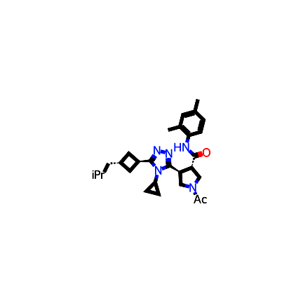 CC(=O)N1C[C@@H](C(=O)Nc2ccc(C)cc2C)[C@H](c2nnc([C@H]3C[C@H](CC(C)C)C3)n2C2CC2)C1